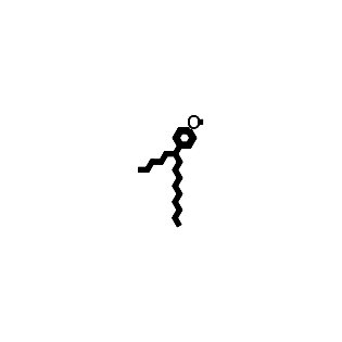 CCCCCCCCCC(CCCCC)c1ccc(OC)cc1